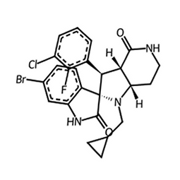 O=C1NCC[C@H]2[C@@H]1[C@H](c1cccc(Cl)c1F)[C@]1(C(=O)Nc3cc(Br)ccc31)N2CC1CC1